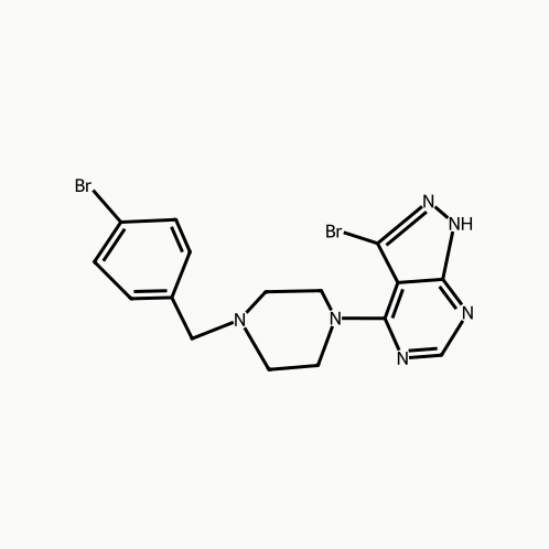 Brc1ccc(CN2CCN(c3ncnc4[nH]nc(Br)c34)CC2)cc1